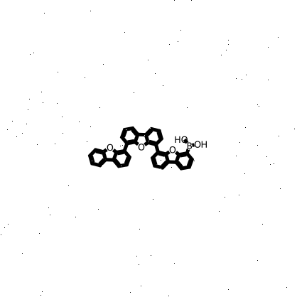 OB(O)c1cccc2c1oc1c(-c3cccc4c3oc3c(-c5cccc6c5oc5ccccc56)cccc34)cccc12